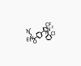 CCN(CCN(C)C)C(=O)c1ccc(-c2cc(C(F)(F)F)nn2-c2ccccc2Cl)cc1